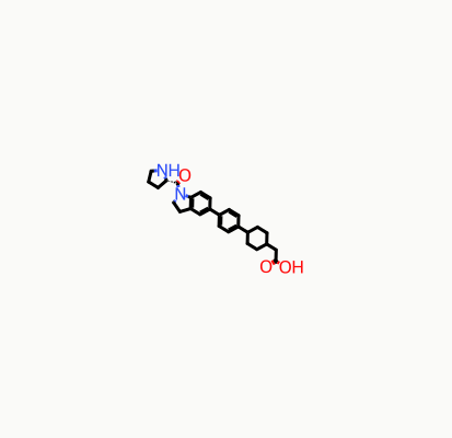 O=C(O)CC1CCC(c2ccc(-c3ccc4c(c3)CCN4C(=O)[C@@H]3CCCN3)cc2)CC1